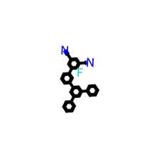 N#Cc1cc(C#N)c(F)c(-c2cccc(-c3cc(-c4ccccc4)cc(-c4ccccc4)c3)c2)c1